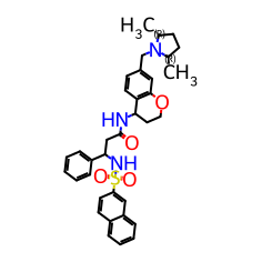 C[C@@H]1CC[C@@H](C)N1Cc1ccc2c(c1)OCCC2NC(=O)CC(NS(=O)(=O)c1ccc2ccccc2c1)c1ccccc1